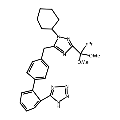 CCCC(OC)(OC)c1nc(Cc2ccc(-c3ccccc3-c3nnn[nH]3)cc2)n(C2CCCCC2)n1